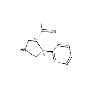 CC(=O)[C@H]1CNC[C@@H]1c1ccccc1